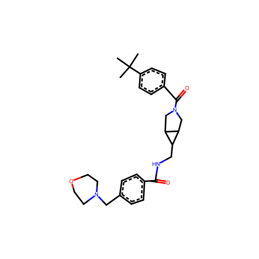 CC(C)(C)c1ccc(C(=O)N2CC3C(CNC(=O)c4ccc(CN5CCOCC5)cc4)C3C2)cc1